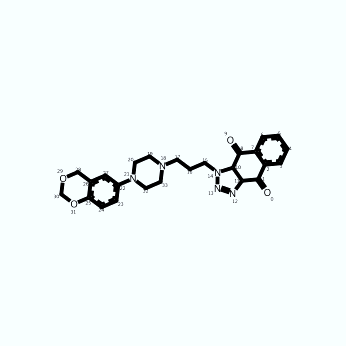 O=C1c2ccccc2C(=O)C2C1N=NN2CCCN1CCN(c2ccc3c(c2)COCO3)CC1